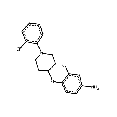 Nc1ccc(OC2CCN(c3ccccc3Cl)CC2)c(Cl)c1